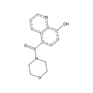 O=C(c1ccc(O)c2ncccc12)N1CCOCC1